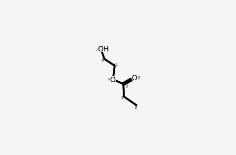 CCC(=O)O[CH]CO